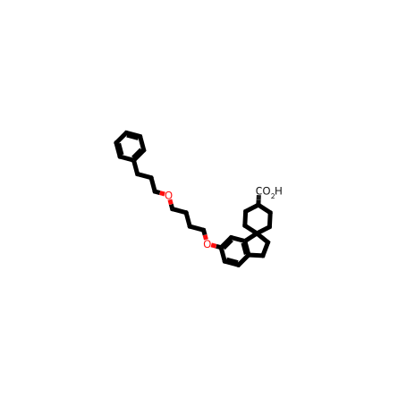 O=C(O)C1CCC2(CCc3ccc(OCCCCOCCCc4ccccc4)cc32)CC1